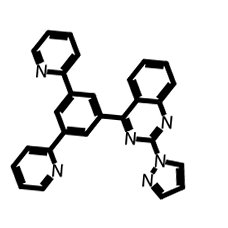 c1ccc(-c2cc(-c3ccccn3)cc(-c3nc(-n4cccn4)nc4ccccc34)c2)nc1